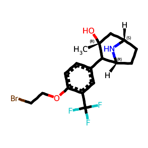 C[C@@]1(O)C[C@@H]2CC[C@@H](N2)C1c1ccc(OCCBr)c(C(F)(F)F)c1